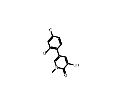 Cn1cc(-c2ccc(Cl)cc2Cl)cc(O)c1=O